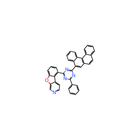 c1ccc(-c2nc(-c3cc4ccc5ccccc5c4c4ccccc34)nc(-c3cccc4oc5cnccc5c34)n2)cc1